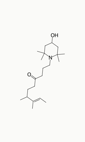 CC=C(C)C(C)CCC(=O)CCCN1C(C)(C)CC(O)CC1(C)C